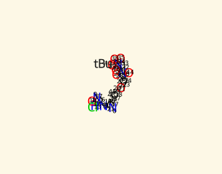 CN1C[C@H](Nc2ccn(C)c(=O)c2Cl)C[C@H](c2ccc(COc3ccc4c(c3)C(=O)N(C3CCC(=O)N(C(=O)OC(C)(C)C)C3=O)C4=O)cc2)C1